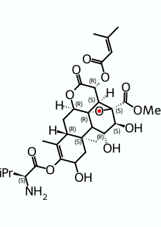 COC(=O)[C@@]12OC[C@]34C([C@@H](O)[C@@H]1O)[C@@]1(C)CC(O)C(OC(=O)[C@@H](N)C(C)C)=C(C)[C@@H]1C[C@H]3OC(=O)[C@H](OC(=O)C=C(C)C)[C@@H]24